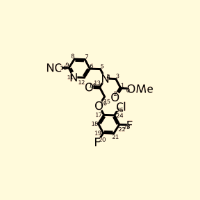 COC(=O)CN(Cc1ccc(C#N)nc1)C(=O)COc1cc(F)cc(F)c1Cl